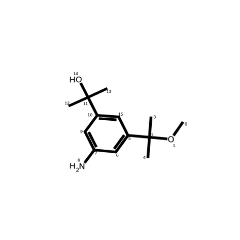 COC(C)(C)c1cc(N)cc(C(C)(C)O)c1